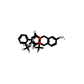 Nc1ccc2c(c1)C1c3ccc(N)cc3C2C2(C(F)(F)F)C(=O)N(c3ccccc3C(F)(F)F)C(=O)C12